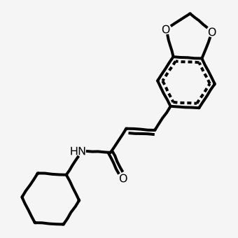 O=C(C=Cc1ccc2c(c1)OCO2)NC1CCCCC1